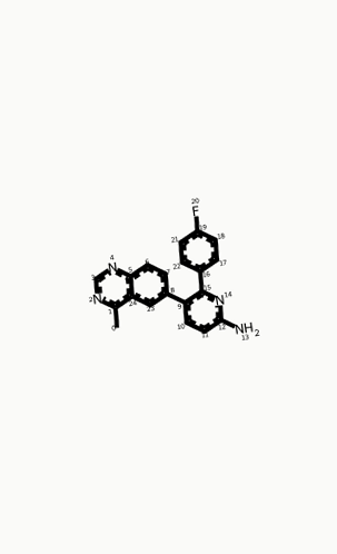 Cc1ncnc2ccc(-c3ccc(N)nc3-c3ccc(F)cc3)cc12